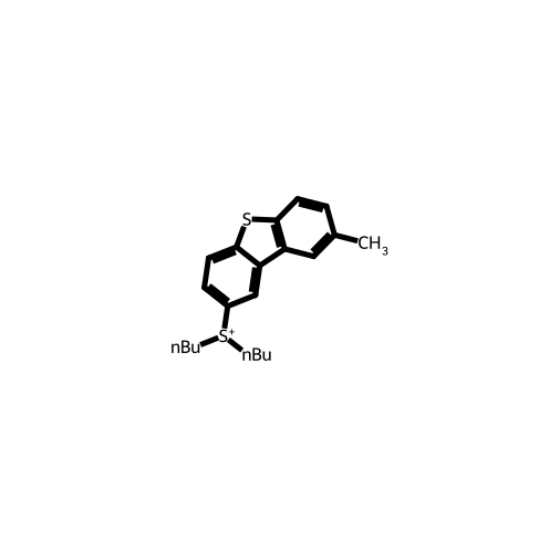 CCCC[S+](CCCC)c1ccc2sc3ccc(C)cc3c2c1